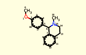 COc1ccc(C2c3ccccc3CCN2C)cc1